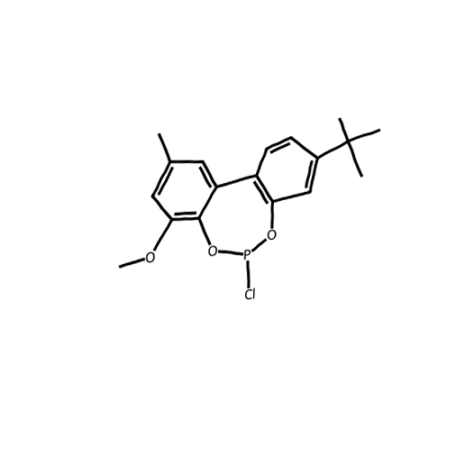 COc1cc(C)cc2c1op(Cl)oc1cc(C(C)(C)C)ccc12